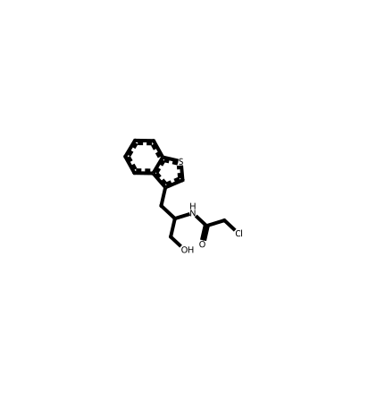 O=C(CCl)NC(CO)Cc1csc2ccccc12